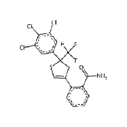 NC(=O)c1ccccc1C1=CSC(c2cc(Cl)c(Cl)c(Cl)c2)(C(F)(F)F)C1